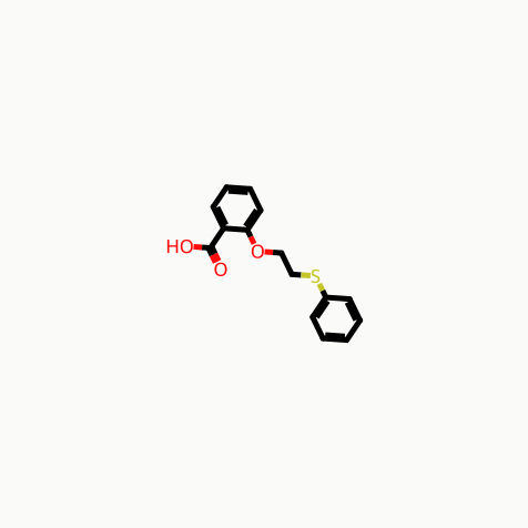 O=C(O)c1ccccc1OCCSc1ccccc1